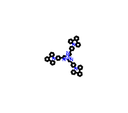 c1ccc2c(c1)-c1ccccc1N(c1ccc(-c3cc4n(n3)c3cc(-c5ccc(N6c7ccccc7-c7ccccc7-c7ccccc76)cc5)nn3c3cc(-c5ccc(N6c7ccccc7-c7ccccc7-c7ccccc76)cc5)nn43)cc1)c1ccccc1-2